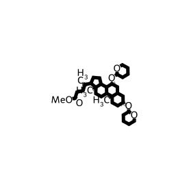 COC(=O)CC[C@@H](C)C1CCC2C3C(CC[C@@]21C)[C@@]1(C)CC[C@@H](OC2CCCCO2)CC1C[C@H]3OC1CCCCO1